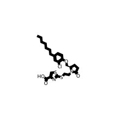 CCCCCCCc1ccc(OC[C@H]2CCC(=O)N2CCSc2nc(C(=O)O)cs2)c(Cl)c1